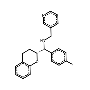 Fc1ccc(C(NCc2cccnc2)[C@H]2CCc3ccccc3O2)cc1